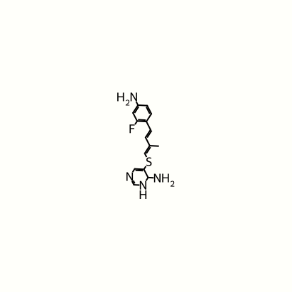 CC(/C=C/c1ccc(N)cc1F)=C\SC1=CN=CNC1N